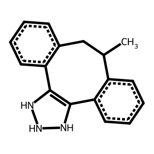 CC1Cc2ccccc2C2=C(NNN2)c2ccccc21